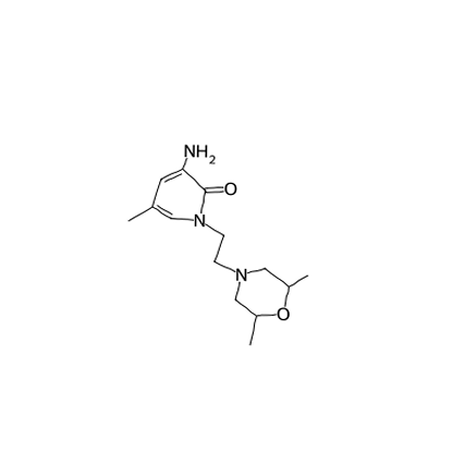 Cc1cc(N)c(=O)n(CCN2CC(C)OC(C)C2)c1